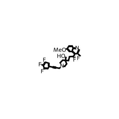 COc1ccc2ncc(CF)c([C@@H](F)CCC3(CO)CCN(CC#Cc4cc(F)c(F)c(F)c4)CC3)c2c1